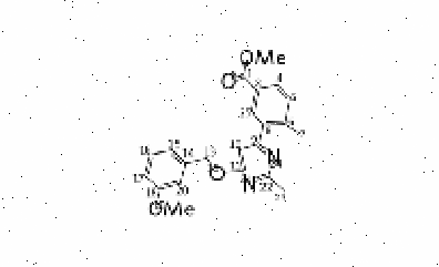 COC(=O)c1ccc(C)c(-c2cc(OCc3cccc(OC)c3)nc(C)n2)c1